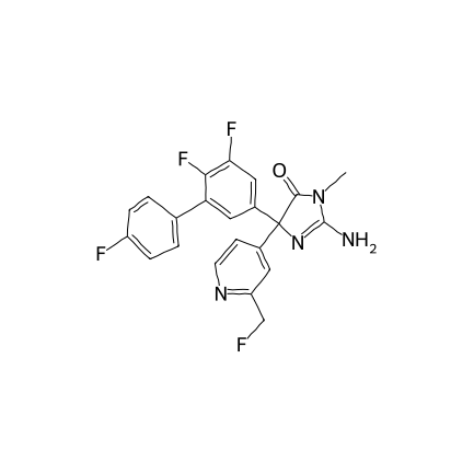 CN1C(=O)C(c2ccnc(CF)c2)(c2cc(F)c(F)c(-c3ccc(F)cc3)c2)N=C1N